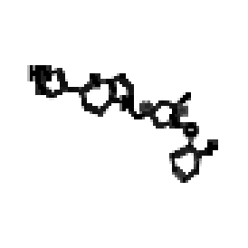 C[C@@H]1C[C@H](Cn2ccc3nc(-c4cn[nH]c4)ccc32)CN1Oc1ccccc1F